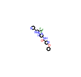 N=C(/C=C(\Nc1ccc(NC(=O)c2ccc(Oc3ccccc3)nc2)cn1)C(F)(F)F)c1cccnc1